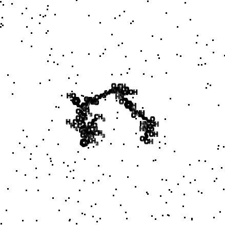 CCCC(=O)OCN(C(=O)[C@@H](NC(=O)[C@H]1CCCCN1C)C(C)CC)[C@H](C[C@@H](OC(C)=O)c1nc(C(=O)N[C@@H](Cc2ccc(O)cc2)C[C@H](C)C(=O)NNC(=O)OCCSSCCNC(=O)[C@H](C)NC(=O)[C@H](CC(=O)O)NC(=O)Cc2ccc(CNC(=O)NCCCC[C@H](NC(=O)N[C@H](CCC(=O)O)C(=O)O)C(=O)O)cc2)cs1)C(C)C